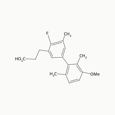 COc1ccc(C)c(-c2cc(C)c(F)c(CCC(=O)O)c2)c1C